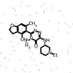 CCN1CCC[C@@H](Nc2nnc(-c3c(C)cc4c(c3O)CCO4)n(C)c2=O)C1